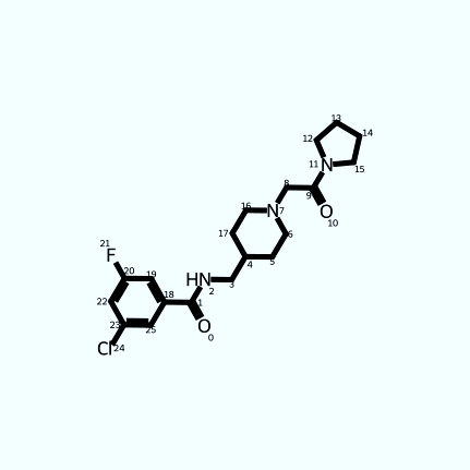 O=C(NCC1CCN(CC(=O)N2CCCC2)CC1)c1cc(F)cc(Cl)c1